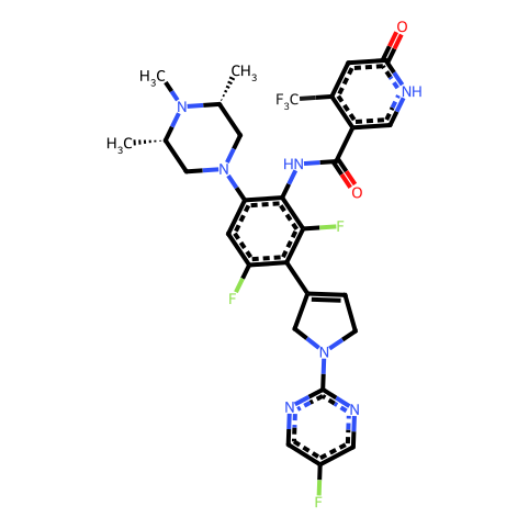 C[C@@H]1CN(c2cc(F)c(C3=CCN(c4ncc(F)cn4)C3)c(F)c2NC(=O)c2c[nH]c(=O)cc2C(F)(F)F)C[C@H](C)N1C